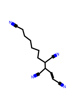 N#CC=CC(C#N)C(C#N)CCCCCCC#N